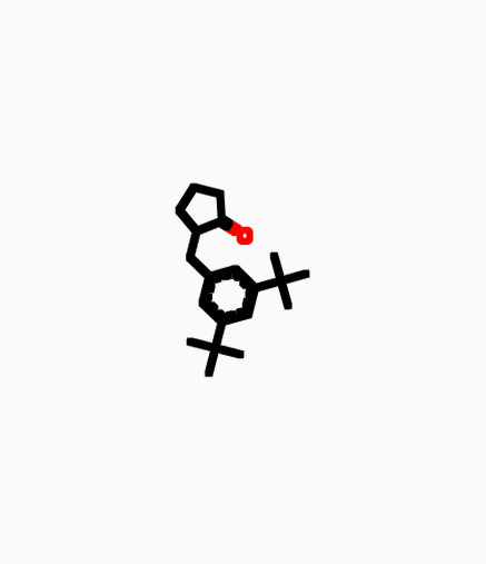 CC(C)(C)c1cc(CC2CCCC2=O)cc(C(C)(C)C)c1